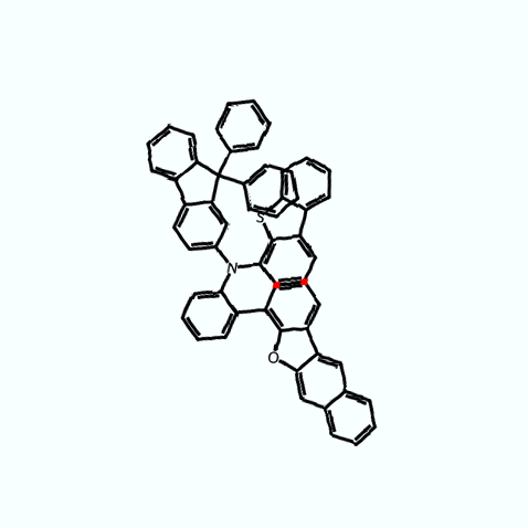 C1=CC(C2(c3ccccc3)c3ccccc3-c3ccc(N(c4ccccc4-c4cccc5c4oc4cc6ccccc6cc45)c4cccc5c4sc4ccccc45)cc32)=CCC1